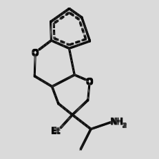 CCC1(C(C)N)COC2c3ccccc3OCC2C1